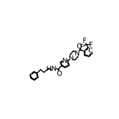 O=C(NCCCCc1ccccc1)c1ccc(N2CCN(C(=O)c3ccccc3C(F)(F)F)CC2)nc1